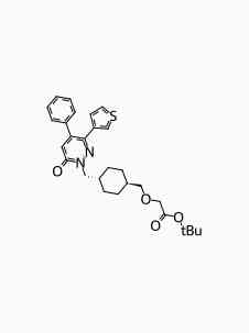 CC(C)(C)OC(=O)COC[C@H]1CC[C@H](Cn2nc(-c3ccsc3)c(-c3ccccc3)cc2=O)CC1